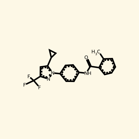 Cc1ccccc1C(=O)Nc1ccc(-n2nc(C(F)(F)F)cc2C2CC2)cc1